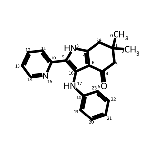 CC1(C)CC(=O)c2c([nH]c(-c3ccccn3)c2Nc2ccccc2)C1